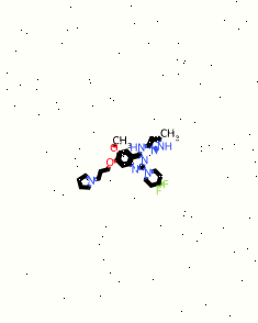 COc1cc2c(Nc3cc(C)[nH]n3)nc(N3CCC(F)(F)CC3)nc2cc1OCCCN1CCCC1